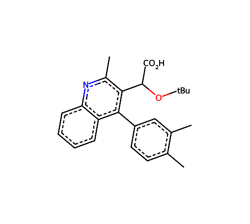 Cc1ccc(-c2c(C(OC(C)(C)C)C(=O)O)c(C)nc3ccccc23)cc1C